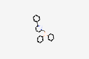 c1ccc(-c2cccc(CP(c3ccccc3)c3ccccc3)n2)cc1